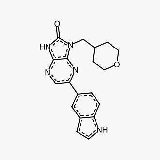 O=c1[nH]c2ncc(-c3ccc4[nH]ccc4c3)nc2n1CC1CCOCC1